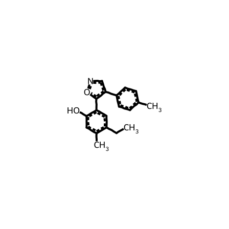 CCc1cc(-c2oncc2-c2ccc(C)cc2)c(O)cc1C